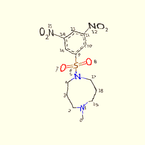 CN1CCCN(S(=O)(=O)c2[c]c([N+](=O)[O-])cc([N+](=O)[O-])c2)CCC1